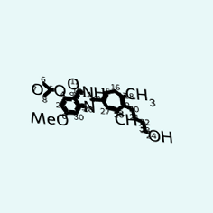 COc1cc(OC2COC2)c2c(=O)[nH]c(C3=CCC(C)=C(CCCCO)C(C)=C3)nc2c1